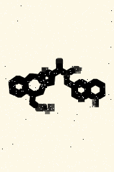 CC(C)N(Cc1cnc2c(c1)CCCN2)C(=O)c1cn2c(n1)Cc1ccccc1C(CC(=O)O)C2